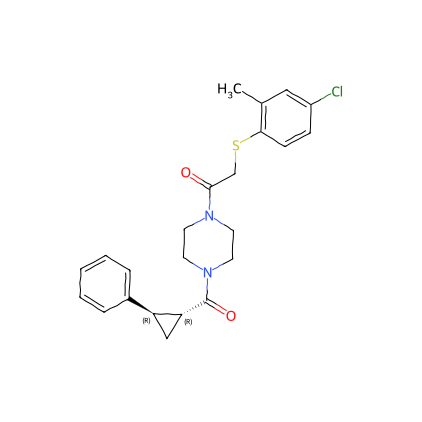 Cc1cc(Cl)ccc1SCC(=O)N1CCN(C(=O)[C@@H]2C[C@H]2c2ccccc2)CC1